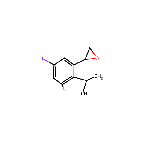 CC(C)c1c(F)cc(I)cc1C1CO1